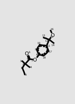 CCC(C)(C)C(=O)Oc1ccc(C(C)(C)OC)cc1